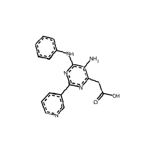 Nc1c(CC(=O)O)nc(-c2cccnc2)nc1Nc1ccccc1